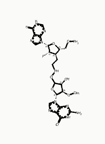 Nc1nc2c(ncn2[C@@H]2OC(OPCC[C@H]3[C@H](F)[C@H](n4cnc5c(=O)[nH]cnc54)O[C@@H]3COP)[C@@H](O)[C@H]2OO)c(=O)[nH]1